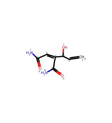 C=CC(O)C(=CC(N)=O)C(N)=O